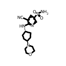 N#Cc1cc(S(N)(=O)=O)cnc1N[C@H]1CC[C@H](N2CCOCC2)CC1